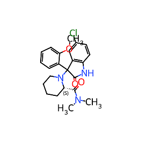 COc1ccccc1C1(N2CCCC[C@H]2C(=O)N(C)C)C(=O)Nc2ccc(Cl)cc21